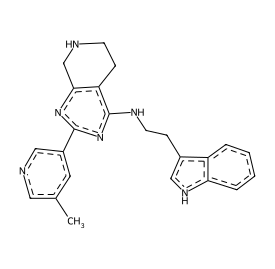 Cc1cncc(-c2nc3c(c(NCCc4c[nH]c5ccccc45)n2)CCNC3)c1